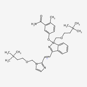 Cc1ccc(O[N+]2(COCC[Si](C)(C)C)N=C(/C=C/c3nccn3COCC[Si](C)(C)C)c3ccccc32)cc1C(N)=O